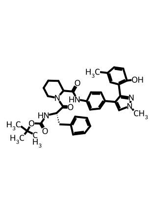 Cc1ccc(O)c(-c2nn(C)cc2-c2ccc(NC(=O)C3CCCCN3C(=O)[C@H](Cc3ccccc3)NC(=O)OC(C)(C)C)cc2)c1